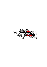 C/C(=C\C(Cc1ccc(C)cc1)c1c(O)c2ccccc2oc1=O)CCCC(C)CCCC(C)CCCC(C)C